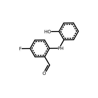 O=Cc1cc(F)ccc1Pc1ccccc1O